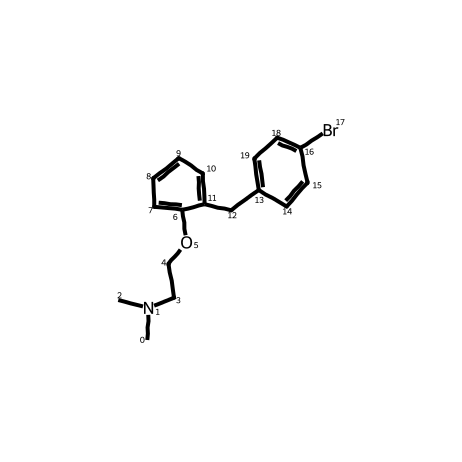 CN(C)CCOc1ccccc1Cc1ccc(Br)cc1